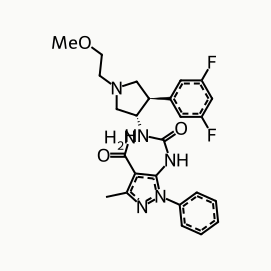 COCCN1C[C@@H](NC(=O)Nc2c(C(N)=O)c(C)nn2-c2ccccc2)[C@H](c2cc(F)cc(F)c2)C1